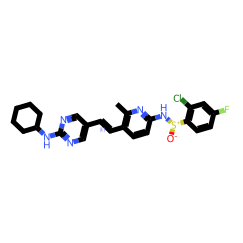 Cc1nc(N[S+]([O-])c2ccc(F)cc2Cl)ccc1/C=C/c1cnc(NC2CCCCC2)nc1